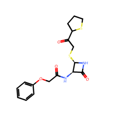 O=C(COc1ccccc1)N[C@@H]1C(=O)N[C@@H]1SCC(=O)C1CCCS1